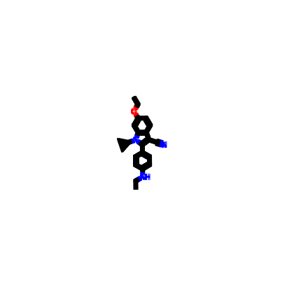 CCNc1ccc(-c2c(C#N)c3ccc(OCC)cc3n2C2CC2)cc1